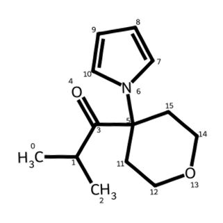 CC(C)C(=O)C1(n2cccc2)CCOCC1